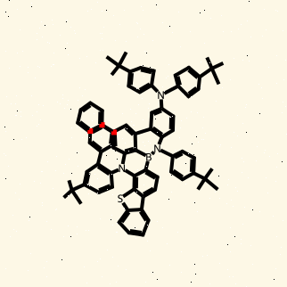 CC(C)(C)c1ccc(N2B3c4ccc5c(sc6ccccc65)c4N(c4ccc(C(C)(C)C)cc4-c4ccccc4)c4cc(-c5ccccc5)cc(c43)-c3cc(N(c4ccc(C(C)(C)C)cc4)c4ccc(C(C)(C)C)cc4)ccc32)cc1